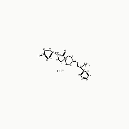 Cl.NC(CCN1CCC2(CC1)CCN(Cc1ccc(Cl)cc1)C2=O)c1ccccc1